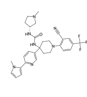 CN1CC[C@@H](NC(=O)NC2(c3ccc(-c4cccn4C)nc3)CCN(c3ccc(C(F)(F)F)cc3C#N)CC2)C1